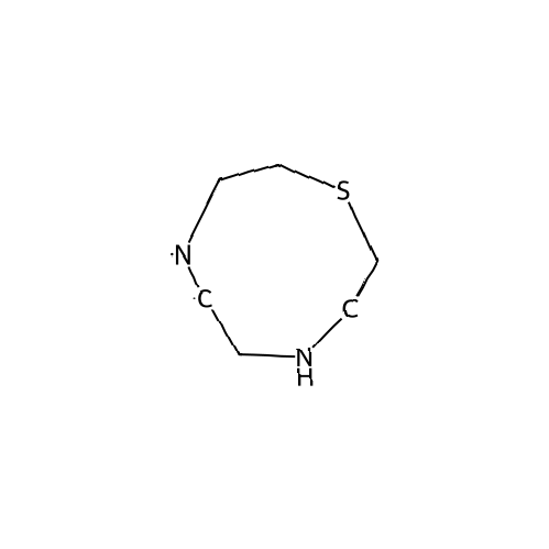 [CH]1CNCCSCC[N]1